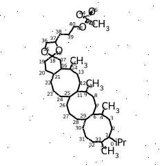 CC(C)C1CCC(C)C2CCC(C)C3CCC(C)C4CC5(CCC4CCCC3CCCC2CCCC1C)OCC(CCCOS(C)(=O)=O)O5